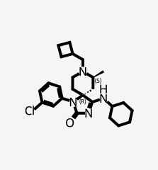 C[C@H]1C[C@]2(CCN1CC1CCC1)C(NC1CCCCC1)=NC(=O)N2c1cccc(Cl)c1